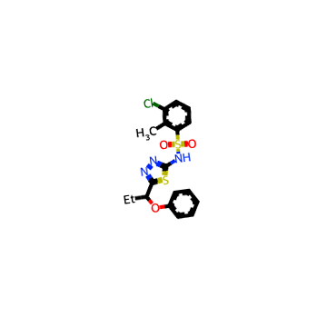 CCC(Oc1ccccc1)c1nnc(NS(=O)(=O)c2cccc(Cl)c2C)s1